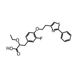 CCOC(Cc1ccc(OCCc2csc(-c3ccccc3)n2)c(F)c1)C(=O)O